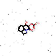 O=C(O)Oc1c(O)c2cccc3c2n(c1=O)CC3